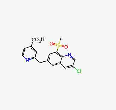 CS(=O)(=O)c1cc(Cc2cc(C(=O)O)ccn2)cc2cc(Cl)cnc12